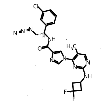 Cc1cnc(NC2CC(F)(F)C2)nc1-n1cnc(C(=O)N[C@H](CN=[N+]=[N-])c2cccc(Cl)c2)c1